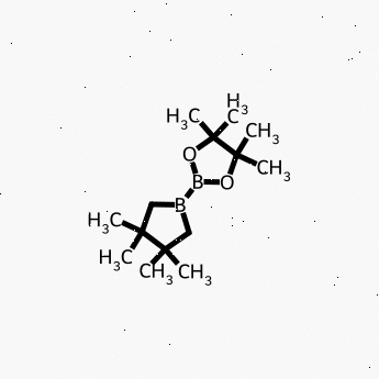 CC1(C)CB(B2OC(C)(C)C(C)(C)O2)CC1(C)C